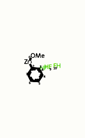 C[O][Zr][c]1ccccc1.F.F.F